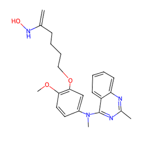 C=C(CCCCOc1cc(N(C)c2nc(C)nc3ccccc23)ccc1OC)NO